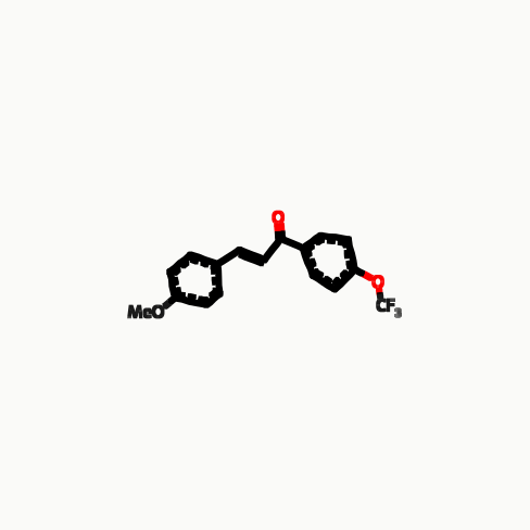 COc1ccc(C=CC(=O)c2ccc(OC(F)(F)F)cc2)cc1